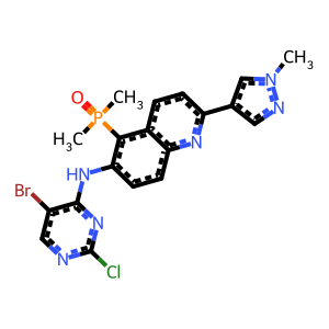 Cn1cc(-c2ccc3c(P(C)(C)=O)c(Nc4nc(Cl)ncc4Br)ccc3n2)cn1